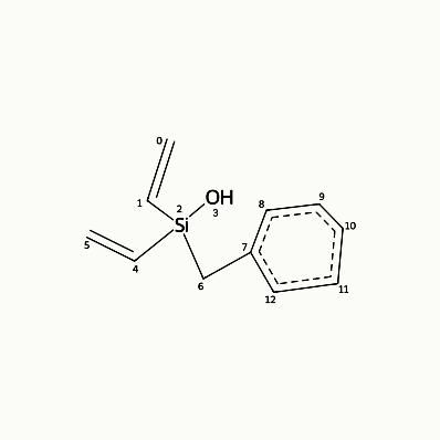 C=C[Si](O)(C=C)Cc1ccccc1